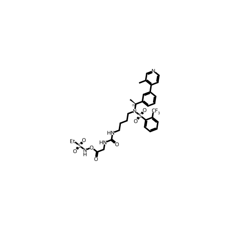 CCS(=O)(=O)NOC(=O)CNC(=O)NCCCCN([C@@H](C)c1cccc(-c2ccncc2C)c1)S(=O)(=O)c1ccccc1C(F)(F)F